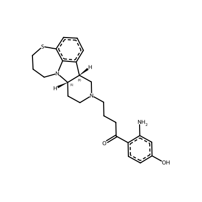 Nc1cc(O)ccc1C(=O)CCCN1CC[C@H]2[C@@H](C1)c1cccc3c1N2CCCS3